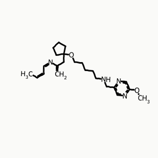 C=C(CC1(OCCCCCNCc2cnc(OC)cn2)CCCC1)/N=C\C=C/C